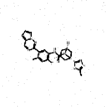 Cc1nnc([C@@]23C[C@H](C)C[C@@H](C2)N3C(=O)Nc2cc(-c3ncc4cccn4n3)c(C)cc2F)o1